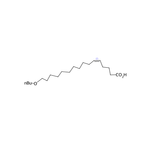 CCCCOCCCCCCCCCC/C=C\CCCC(=O)O